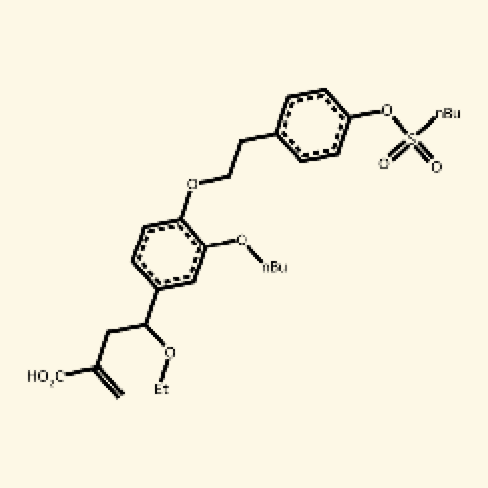 C=C(CC(OCC)c1ccc(OCCc2ccc(OS(=O)(=O)CCCC)cc2)c(OCCCC)c1)C(=O)O